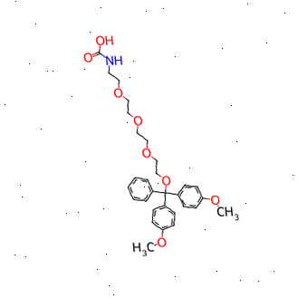 COc1ccc(C(OCCOCCOCCOCCNC(=O)O)(c2ccccc2)c2ccc(OC)cc2)cc1